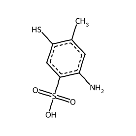 Cc1cc(N)c(S(=O)(=O)O)cc1S